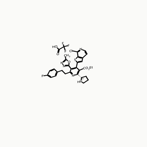 CCOC(=O)c1c([C@@H]2CCCN2)nc(CCc2ccc(F)cc2)c(-c2nnc(C)o2)c1-c1cc2ccnc(Cl)c2s1.O=C(O)C(F)(F)F